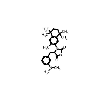 Cc1cc2c(cc1N1C(=O)SC(=O)C1Cc1cccc(N(C)C)c1)C(C)(C)CCC2(C)C